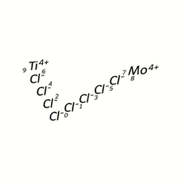 [Cl-].[Cl-].[Cl-].[Cl-].[Cl-].[Cl-].[Cl-].[Cl-].[Mo+4].[Ti+4]